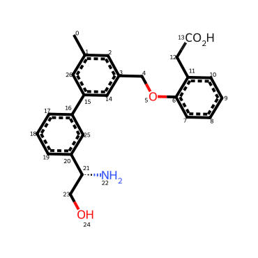 Cc1cc(COc2ccccc2CC(=O)O)cc(-c2cccc([C@H](N)CO)c2)c1